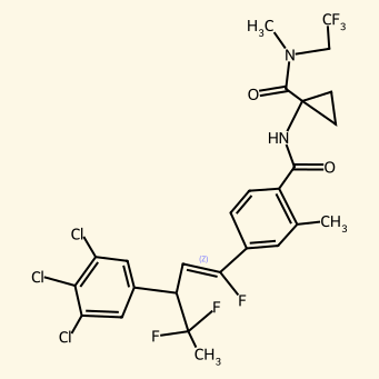 Cc1cc(/C(F)=C/C(c2cc(Cl)c(Cl)c(Cl)c2)C(C)(F)F)ccc1C(=O)NC1(C(=O)N(C)CC(F)(F)F)CC1